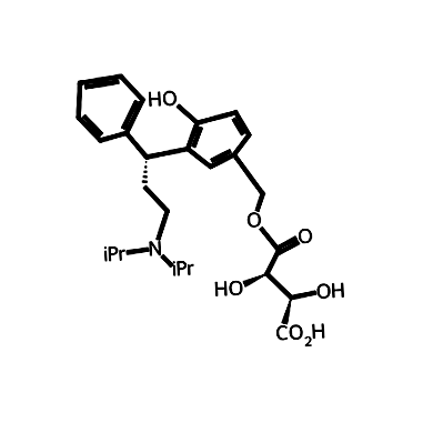 CC(C)N(CC[C@H](c1ccccc1)c1cc(COC(=O)[C@H](O)[C@@H](O)C(=O)O)ccc1O)C(C)C